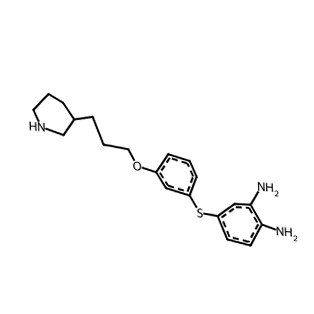 Nc1ccc(Sc2cccc(OCCCC3CCCNC3)c2)cc1N